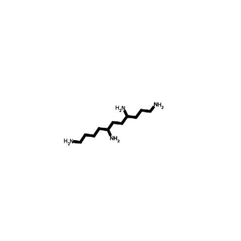 NCCCCC(N)CCC(N)CCCN